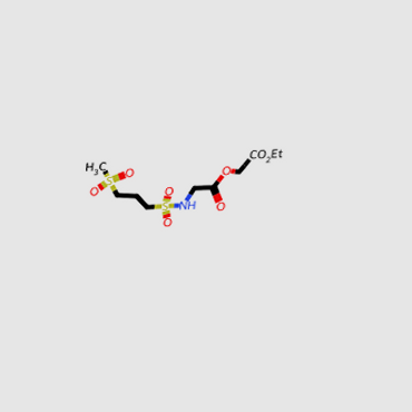 CCOC(=O)COC(=O)CNS(=O)(=O)CCCS(C)(=O)=O